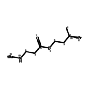 CC(C)[C@H](C)CCOC(=O)CCNC(C)(C)C